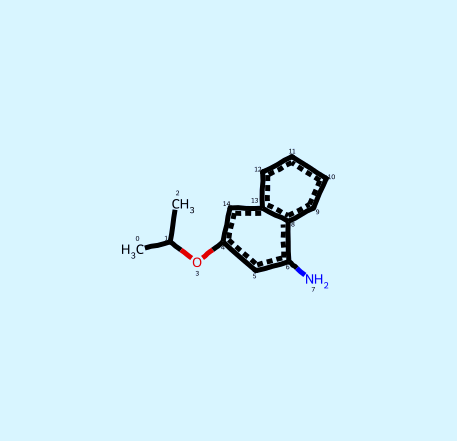 CC(C)Oc1cc(N)c2ccccc2c1